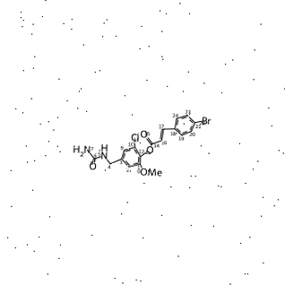 COc1cc(CNC(N)=O)cc(Cl)c1OC(=O)/C=C/c1ccc(Br)cc1